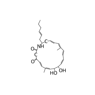 CCC/C=C/CC1C/C=C/C=C(C)/C=C/C=C\C(O)C(O)/C=C(C)\C=C\C(=O)CC(=O)N1